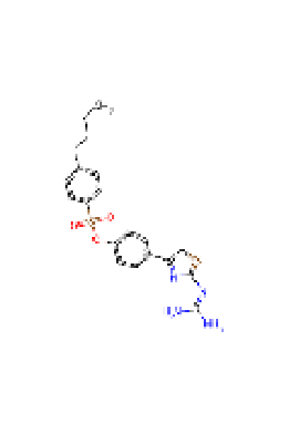 CCCCc1ccc(S(=O)(=O)Oc2ccc(-c3csc(N=C(N)N)n3)cc2)cc1